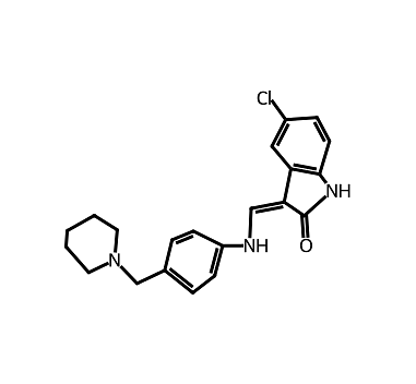 O=C1Nc2ccc(Cl)cc2/C1=C/Nc1ccc(CN2CCCCC2)cc1